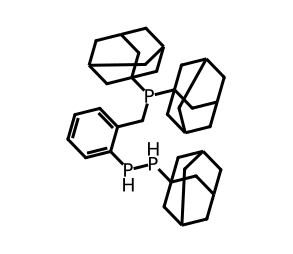 c1ccc(PPC23CC4CC(CC(C4)C2)C3)c(CP(C23CC4CC(CC(C4)C2)C3)C23CC4CC(CC(C4)C2)C3)c1